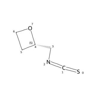 S=C=NC[C@@H]1CCO1